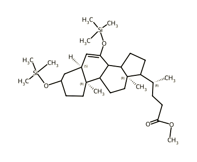 COC(=O)CC[C@@H](C)C1CCC2C3C(O[Si](C)(C)C)=C[C@@H]4CC(O[Si](C)(C)C)CC[C@]4(C)C3CC[C@@]21C